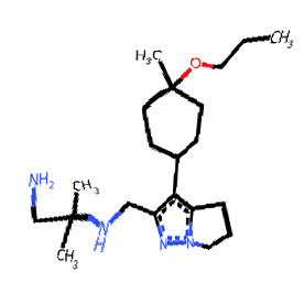 CCCOC1(C)CCC(c2c(CNC(C)(C)CN)nn3c2CCC3)CC1